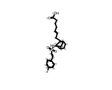 O=C(O)CCCC=CCC1C2CCC(CC2)C1NS(=O)(=O)C=Cc1ccc(I)cc1